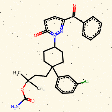 CC(C)(CCC1(c2cccc(Cl)c2)CCC(n2nc(C(=O)c3ccccc3)ccc2=O)CC1)OC(N)=O